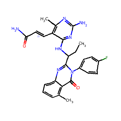 CCC(Nc1nc(N)nc(C)c1/C=C/C(N)=O)c1nc2cccc(C)c2c(=O)n1-c1ccc(F)cc1